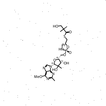 COc1nc(C)nc2c1ncn2[C@@H]1O[C@H](COP(=O)(NC(C)C)OCCSC(=O)C(C)(C)CO)[C@H](O)C1(C)O